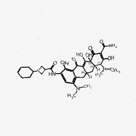 CN(C)c1cc(NC(=O)C2CN(C3CCCCC3)C2)c(O)c2c1C[C@H]1C[C@H]3[C@H](N(C)C)C(O)=C(C(N)=O)C(=O)[C@@]3(O)C(O)=C1C2=O